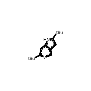 CC(C)(C)c1cc2[nH]c(C(C)(C)C)cc2cn1